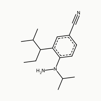 CCC(c1cc(C#N)ccc1N(N)C(C)C)C(C)C